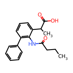 CCCC(=O)Nc1c(-c2ccccc2)cccc1C(C)C(=O)O